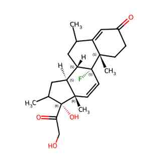 CC1C[C@H]2[C@@H]3CC(C)[C@](O)(C(=O)CO)[C@@]3(C)C=C[C@]2(F)[C@@]2(C)CCC(=O)C=C12